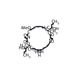 C/C=C/[C@H](O)C(C)(C)[C@@H]1C\C=C/C=C\C=C\[C@H](OC)Cc2nc(co2)C(=O)O[C@H](C(C)(C)[C@@H](O)/C=C/C)C/C=C\[C@H]2N[C@H]2/C=C/C=C\c2nc(co2)C(=O)O1